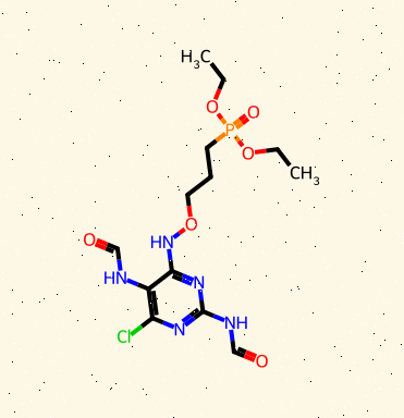 CCOP(=O)(CCCONc1nc(NC=O)nc(Cl)c1NC=O)OCC